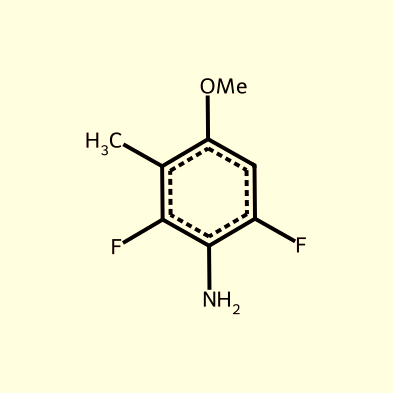 COc1cc(F)c(N)c(F)c1C